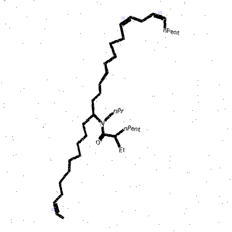 C/C=C\CCCCCCCCC(CCCCCCCC/C=C\C/C=C\CCCCC)N(CCC)C(=O)C(CC)CCCCC